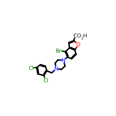 O=C(O)c1cc2c(Br)c(N3CCN(Cc4ccc(Cl)cc4Cl)CC3)ccc2o1